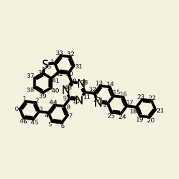 c1ccc(-c2cccc(-c3nc(-c4ccc5cc(-c6ccccc6)ccc5n4)nc(-c4cccc5sc6ccccc6c45)n3)c2)cc1